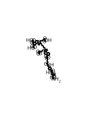 CN(CCCC(=O)NCc1ccc(C(=O)Nc2nnc(S(N)(=O)=O)s2)cc1)S(=O)(=O)c1cccc2c3c(ccc12)[N+](CCCS(=O)(=O)[O-])=C(/C=C/C=C/C=C1/N(CCCS(=O)(=O)O)c2ccc4c(S(=O)(=O)O)cc(S(=O)(=O)O)cc4c2C1(C)C)C3(C)C